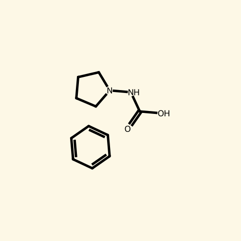 O=C(O)NN1CCCC1.c1ccccc1